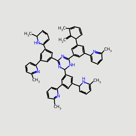 C=C1C(C)=CC=CC1c1cc(C2=NC(c3cc(C4=CC=CC(C)N4)cc(-c4cccc(C)n4)c3)=NC(c3cc(-c4cccc(C)n4)cc(C4C=CC=C(C)N4)c3)N2)cc(-c2cccc(C)n2)c1